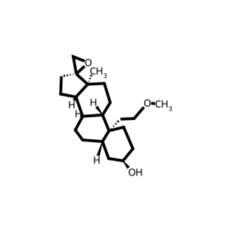 COCC[C@]12CC[C@@H](O)C[C@@H]1CC[C@@H]1[C@@H]2CC[C@@]2(C)[C@H]1CC[C@@]21CO1